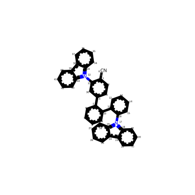 N#Cc1ccc(-c2ccccc2-c2ccccc2-n2c3ccccc3c3ccccc32)cc1-n1c2ccccc2c2ccccc21